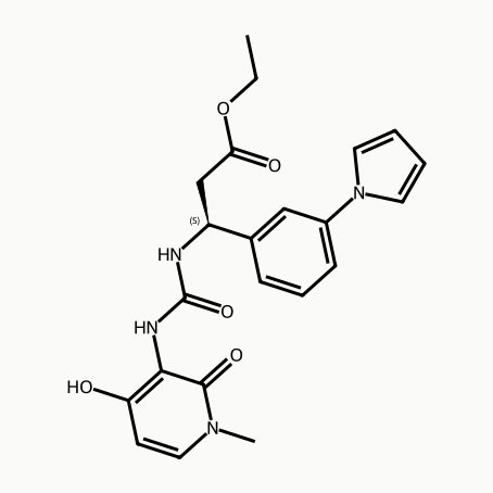 CCOC(=O)C[C@H](NC(=O)Nc1c(O)ccn(C)c1=O)c1cccc(-n2cccc2)c1